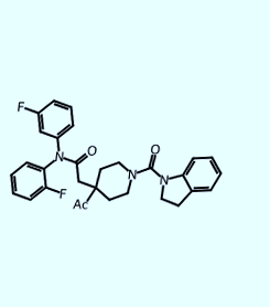 CC(=O)C1(CC(=O)N(c2cccc(F)c2)c2ccccc2F)CCN(C(=O)N2CCc3ccccc32)CC1